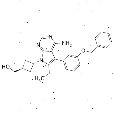 CCc1c(-c2cccc(OCc3ccccc3)c2)c2c(N)ncnc2n1[C@H]1C[C@H](CO)C1